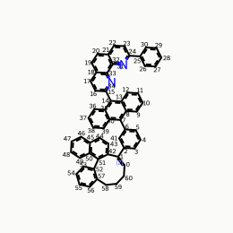 C1=C(/c2cccc(-c3c4ccccc4c(-c4ccc5ccc6ccc(-c7ccccc7)nc6c5n4)c4ccccc34)c2)c2ccc3ccccc3c2-c2ccccc2CCC/1